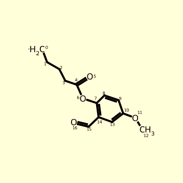 [CH2]CCCC(=O)Oc1ccc(OC)cc1C=O